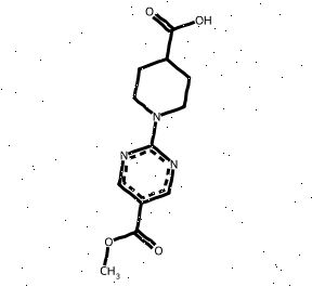 COC(=O)c1cnc(N2CCC(C(=O)O)CC2)nc1